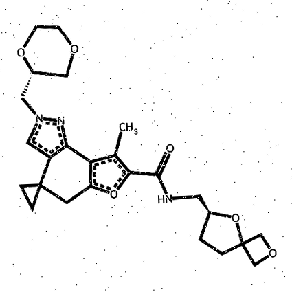 Cc1c(C(=O)NC[C@@H]2CCC3(COC3)O2)oc2c1-c1nn(C[C@H]3COCCO3)cc1C1(CC1)C2